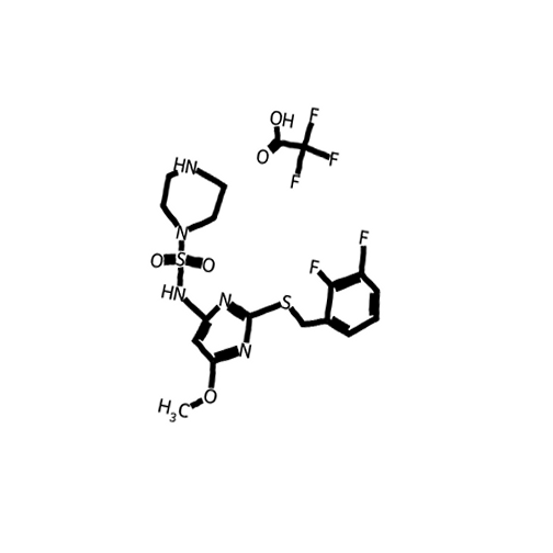 COc1cc(NS(=O)(=O)N2CCNCC2)nc(SCc2cccc(F)c2F)n1.O=C(O)C(F)(F)F